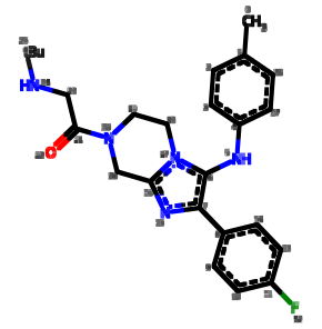 Cc1ccc(Nc2c(-c3ccc(F)cc3)nc3n2CCN(C(=O)CNC(C)(C)C)C3)cc1